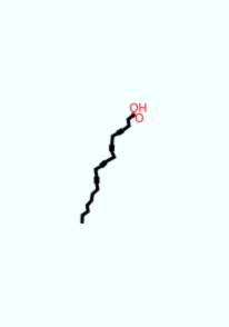 CCCCCCCC#CCC#CCC#CCC#CCCC(=O)O